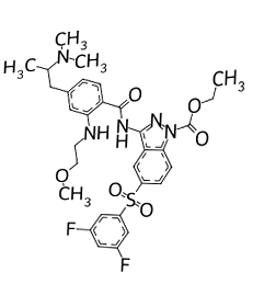 CCOC(=O)n1nc(NC(=O)c2ccc(CC(C)N(C)C)cc2NCCOC)c2cc(S(=O)(=O)c3cc(F)cc(F)c3)ccc21